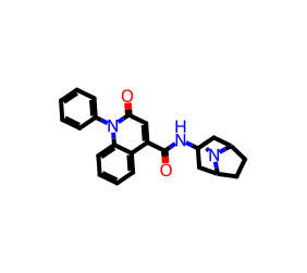 CN1C2CCC1CC(NC(=O)c1cc(=O)n(-c3ccccc3)c3ccccc13)C2